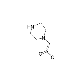 O=S(=O)=CN1CCNCC1